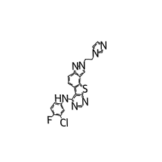 Fc1ccc(Nc2ncnc3sc4c5cn(CCn6ccnc6)nc5ccc4c23)cc1Cl